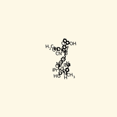 C=CC(=O)N1CCN(c2nc(OCCN3CCC4(CC3)CN(c3cc([C@@H](C(=O)N5C[C@H](O)C[C@H]5C(=O)N[C@@H](C)c5ccc(-c6ccnn6C)cc5)C(C)C)on3)C4)nc3c(F)c(-c4cc(O)cc5ccccc45)c(Cl)cc23)C[C@@H]1CC#N